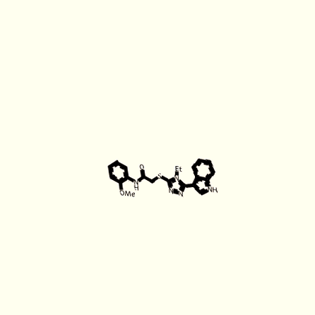 CCn1c(SCC(=O)Nc2ccccc2OC)nnc1-c1c[nH]c2ccccc12